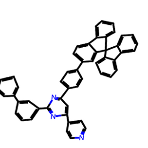 c1ccc(-c2cccc(-c3nc(-c4ccncc4)cc(-c4ccc(-c5ccc6c(c5)C5(c7ccccc7-c7ccccc75)c5ccccc5-6)cc4)n3)c2)cc1